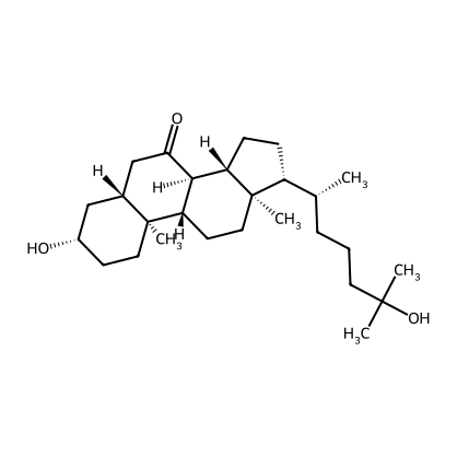 C[C@H](CCCC(C)(C)O)[C@H]1CC[C@H]2[C@@H]3C(=O)C[C@H]4C[C@@H](O)CC[C@]4(C)[C@H]3CC[C@]12C